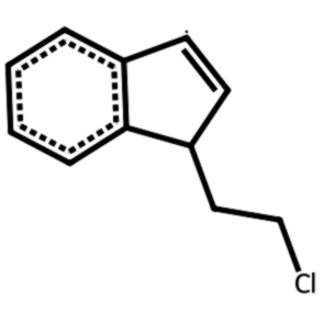 ClCCC1C=[C]c2ccccc21